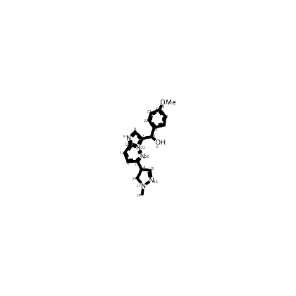 COc1ccc(C(O)c2cnc3ccc(C4C=NN(C)C4)nn23)cc1